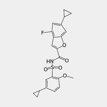 COc1ccc(C2CC2)cc1S(=O)(=O)NC(=O)c1cc2c(F)cc(C3CC3)cc2o1